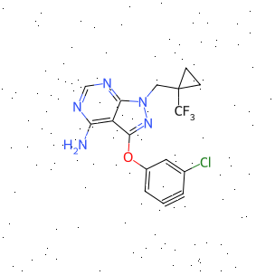 Nc1ncnc2c1c(Oc1cc#cc(Cl)c1)nn2CC1(C(F)(F)F)CC1